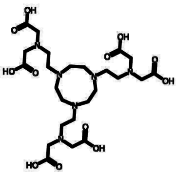 O=C(O)CN(CCN1CCN(CCN(CC(=O)O)CC(=O)O)CCN(CCN(CC(=O)O)CC(=O)O)CC1)CC(=O)O